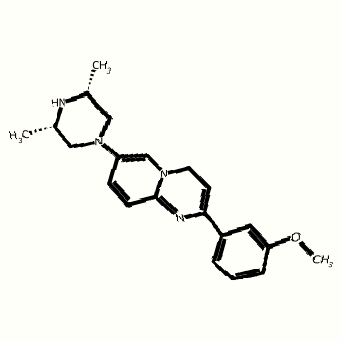 COc1cccc(C2=CCN3C=C(N4C[C@@H](C)N[C@@H](C)C4)C=CC3=N2)c1